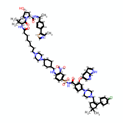 Cc1ncsc1-c1ccc([C@H](C)NC(=O)[C@@H]2C[C@@H](O)CN2C(=O)[C@@H](NC(=O)CCCCCCCN2CCN(C3CCC(CNc4ccc(S(=O)(=O)NC(=O)c5ccc(N6CCN(CC7=C(c8ccc(Cl)cc8)CC(C)(C)CC7)CC6)cc5Oc5cnc6[nH]ccc6c5)cc4[N+](=O)[O-])CC3)CC2)C(C)(C)C)cc1